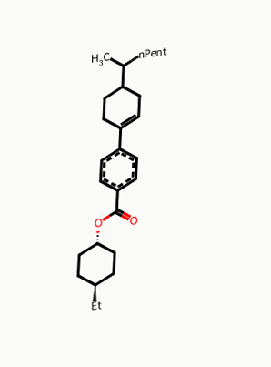 CCCCCC(C)C1CC=C(c2ccc(C(=O)O[C@H]3CC[C@H](CC)CC3)cc2)CC1